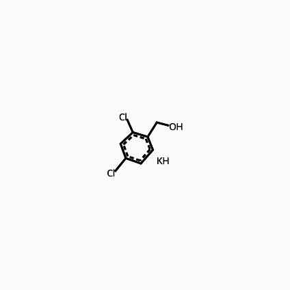 OCc1ccc(Cl)cc1Cl.[KH]